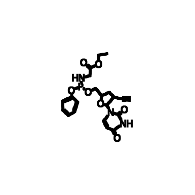 C#CC1CC(COP(NCC(=O)OCC)Oc2ccccc2)OC1n1ccc(=O)[nH]c1=O